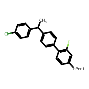 CCCCCc1ccc(-c2ccc(C(C)c3ccc(Cl)cc3)cc2)c(F)c1